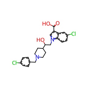 O=C(O)c1cn(CC(O)C2CCN(Cc3ccc(Cl)cc3)CC2)c2ccc(Cl)cc12